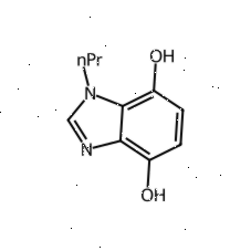 CCCn1cnc2c(O)ccc(O)c21